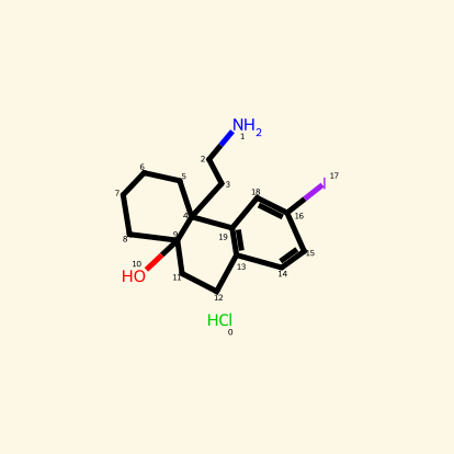 Cl.NCCC12CCCCC1(O)CCc1ccc(I)cc12